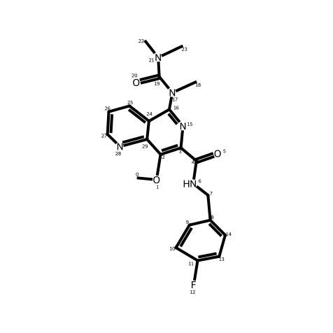 COc1c(C(=O)NCc2ccc(F)cc2)nc(N(C)C(=O)N(C)C)c2cccnc12